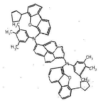 Cc1cc(N(c2ccc3ccc4c(N(c5cc(C)c(C)c(C)c5)c5cccc6c5oc5c(C7CCCC7)cccc56)ccc5ccc2c3c54)c2cccc3c2oc2c(C4CCCC4)cccc23)cc(C)c1C